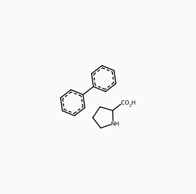 O=C(O)C1CCCN1.c1ccc(-c2ccccc2)cc1